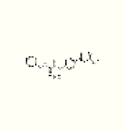 COC(=O)CNc1ccc(CNC(=O)OCc2ccccc2)cc1.Cl